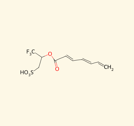 C=C/C=C/C=C/C(=O)OC(CS(=O)(=O)O)C(F)(F)F